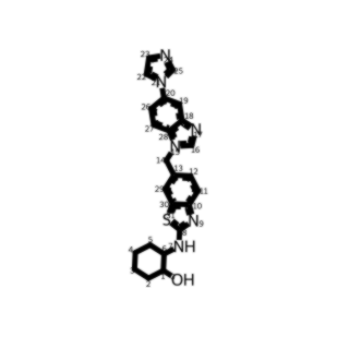 OC1CCCCC1Nc1nc2ccc(Cn3cnc4cc(-n5ccnc5)ccc43)cc2s1